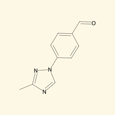 Cc1ncn(-c2ccc(C=O)cc2)n1